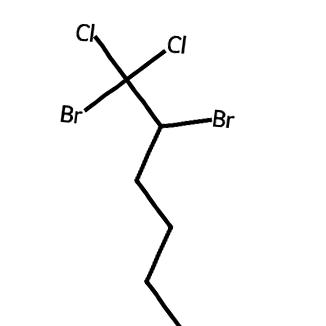 CCCCC(Br)C(Cl)(Cl)Br